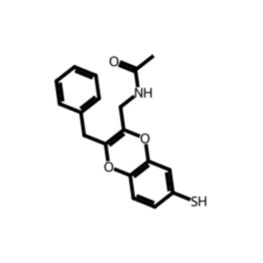 CC(=O)NCC1=C(Cc2ccccc2)Oc2ccc(S)cc2O1